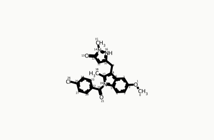 COc1ccc2c(c1)c(Cc1cc(=O)n(C)[nH]1)c(C)n2C(=O)c1ccc(Cl)cc1